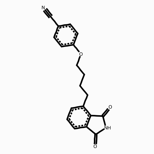 N#Cc1ccc(OCCCCc2cccc3c2C(=O)NC3=O)cc1